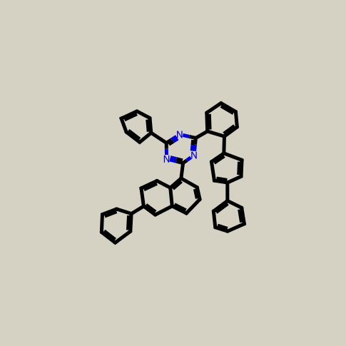 c1ccc(-c2ccc(-c3ccccc3-c3nc(-c4ccccc4)nc(-c4cccc5cc(-c6ccccc6)ccc45)n3)cc2)cc1